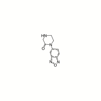 O=C1CNCCN1c1ccc2nonc2c1